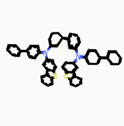 C1=c2sc3ccccc3c2=CC(N(c2cccc(C3CCCC(N(c4ccc(-c5ccccc5)cc4)c4ccc5sc6ccccc6c5c4)C3)c2)C2CCC(C3CCCCC3)CC2)C1